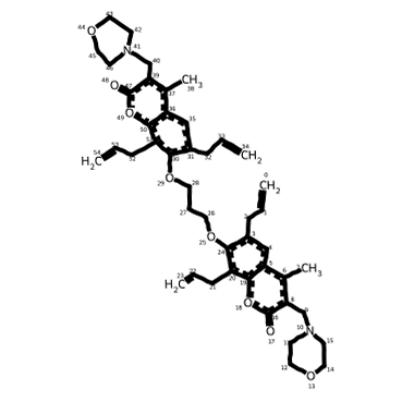 C=CCc1cc2c(C)c(CN3CCOCC3)c(=O)oc2c(CC=C)c1OCCCOc1c(CC=C)cc2c(C)c(CN3CCOCC3)c(=O)oc2c1CC=C